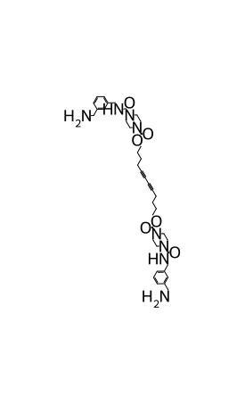 NCc1cccc(CNC(=O)N2CCN(C(=O)OCCCCC#CC#CCCCCOC(=O)N3CCN(C(=O)NCc4cccc(CN)c4)CC3)CC2)c1